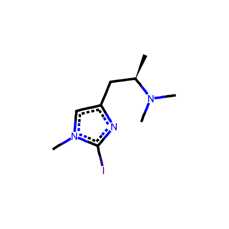 C[C@H](Cc1cn(C)c(I)n1)N(C)C